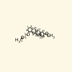 COCCOc1cccc(CN(Cc2cccc(OC)c2)C(N)=S)c1